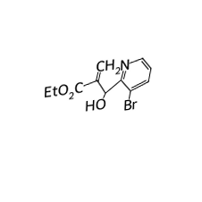 C=C(C(=O)OCC)C(O)c1ncccc1Br